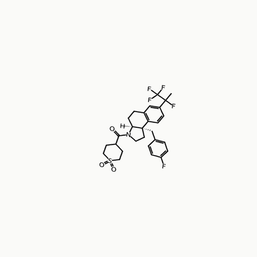 CC(F)(c1ccc2c(c1)CC[C@@H]1N(C(=O)C3CCS(=O)(=O)CC3)CC[C@]21Cc1ccc(F)cc1)C(F)(F)F